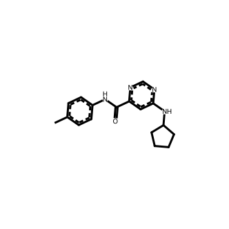 Cc1ccc(NC(=O)c2cc(NC3CCCC3)ncn2)cc1